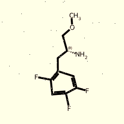 COC[C@H](N)Cc1cc(F)c(F)cc1F